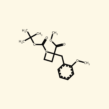 COC(=O)C1(Cc2ccccc2OC)CCN1C(=O)OC(C)(C)C